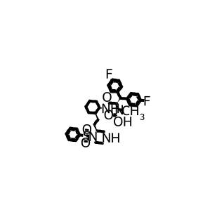 CN(C(=O)O)[C@H](C(=O)N[C@H]1CCCC[C@@H]1CC[C@H]1CNCCN1S(=O)(=O)c1ccccc1)C(c1ccc(F)cc1)c1ccc(F)cc1